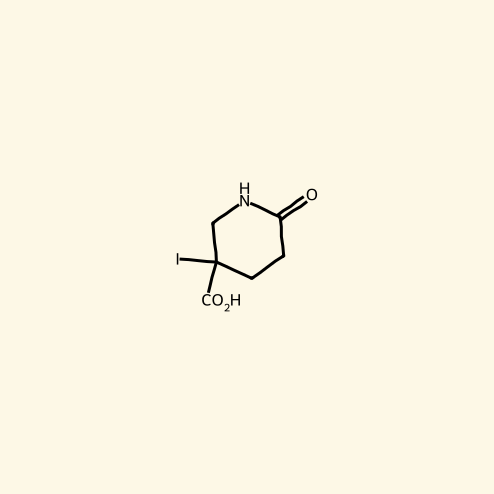 O=C1CCC(I)(C(=O)O)CN1